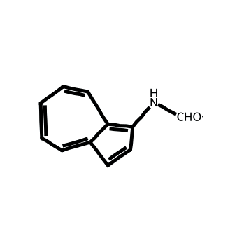 O=[C]Nc1ccc2cccccc1-2